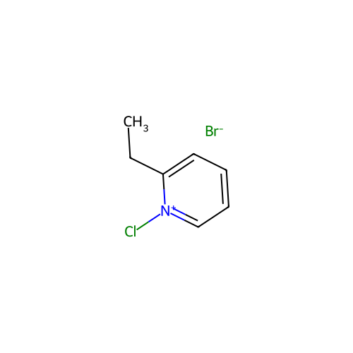 CCc1cccc[n+]1Cl.[Br-]